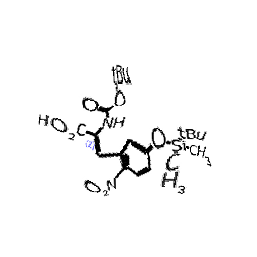 CC(C)(C)OC(=O)N/C(=C\c1cc(O[Si](C)(C)C(C)(C)C)ccc1[N+](=O)[O-])C(=O)O